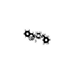 O=C(Cc1ccccc1C(F)(F)F)N1CCN(Cc2ccccc2)CC1